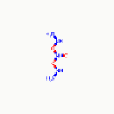 NNO[N+](=O)ONN